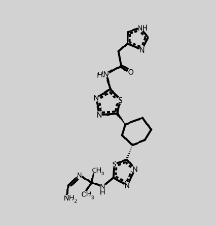 CC(C)(/N=C\N)Nc1nnc([C@H]2CCC[C@H](c3nnc(NC(=O)Cc4c[nH]cn4)s3)C2)s1